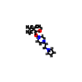 CC(C)(C)C(=O)ON1CCN(CCN2CCCC2)CC1